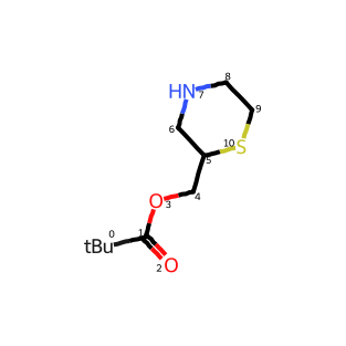 CC(C)(C)C(=O)OCC1CNCCS1